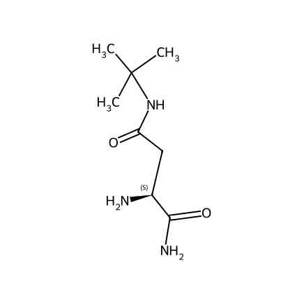 CC(C)(C)NC(=O)C[C@H](N)C(N)=O